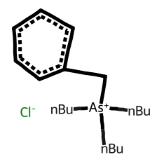 CCCC[As+](CCCC)(CCCC)Cc1ccccc1.[Cl-]